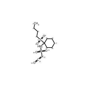 CCCCS(=O)(=O)C1(NS(=O)(=O)N=C=O)CCCCC1